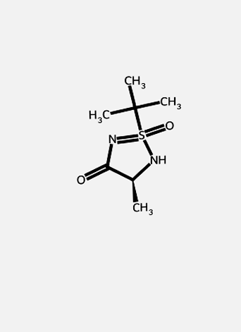 C[C@@H]1NS(=O)(C(C)(C)C)=NC1=O